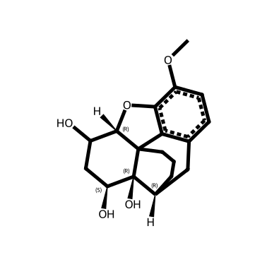 COc1ccc2c3c1O[C@H]1C(O)C[C@H](O)[C@@]4(O)[C@H](CCCC314)C2